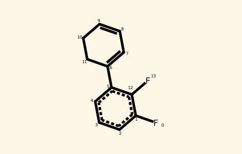 Fc1cccc(C2=CC=CCC2)c1F